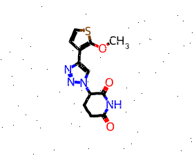 COc1sccc1-c1cn(C2CCC(=O)NC2=O)nn1